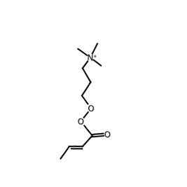 CC=CC(=O)OOCCC[N+](C)(C)C